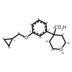 O=C(O)C1(c2cccc(OCC3CC3)c2)CCOCC1